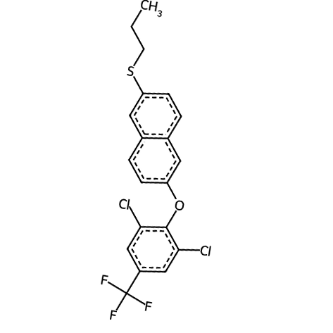 CCCSc1ccc2cc(Oc3c(Cl)cc(C(F)(F)F)cc3Cl)ccc2c1